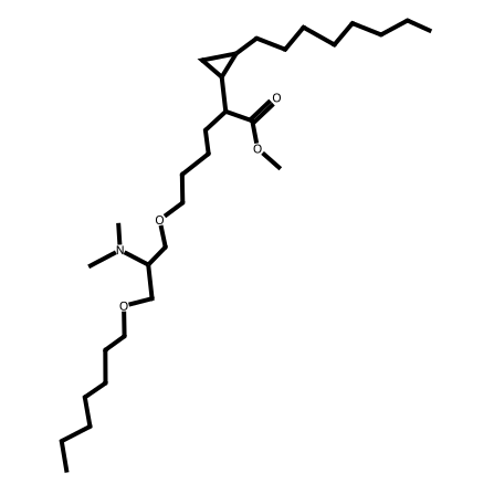 CCCCCCCCC1CC1C(CCCCOCC(COCCCCCCC)N(C)C)C(=O)OC